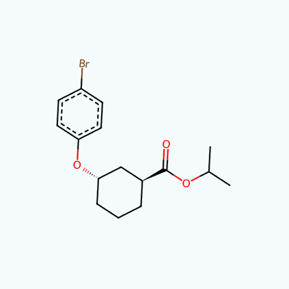 CC(C)OC(=O)[C@H]1CCC[C@H](Oc2ccc(Br)cc2)C1